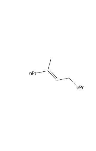 C[CH]CC/C=C(\C)C[CH]C